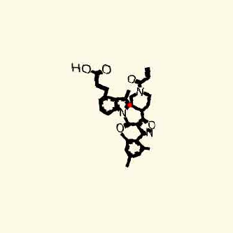 C=CC(=O)N1CCC(c2onc(-c3c(C)cc(C)cc3C)c2C(=O)n2cc(C)c3c(/C=C/C(=O)O)cccc32)CC1